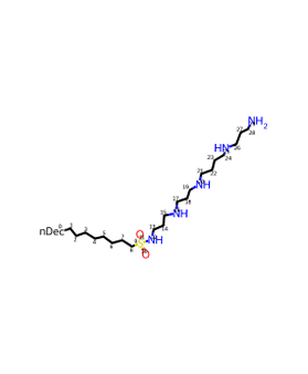 CCCCCCCCCCCCCCCCCCS(=O)(=O)NCCCNCCCNCCCCNCCCN